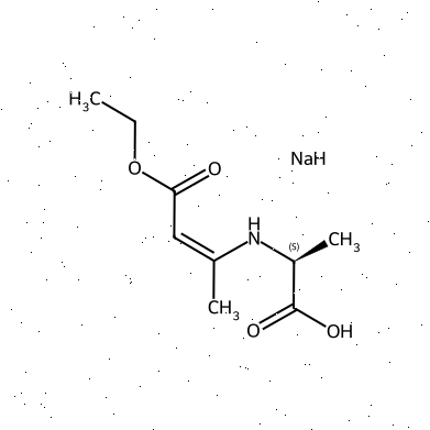 CCOC(=O)C=C(C)N[C@@H](C)C(=O)O.[NaH]